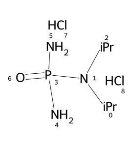 CC(C)N(C(C)C)P(N)(N)=O.Cl.Cl